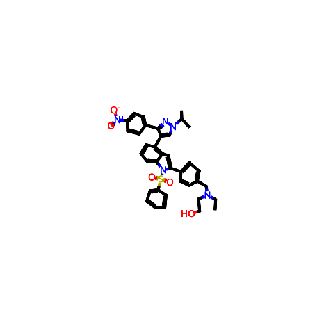 CCN(CCO)Cc1ccc(-c2cc3c(-c4cn(C(C)C)nc4-c4ccc([N+](=O)[O-])cc4)cccc3n2S(=O)(=O)c2ccccc2)cc1